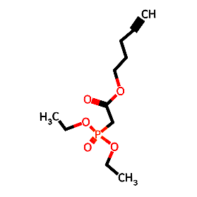 C#CCCCOC(=O)CP(=O)(OCC)OCC